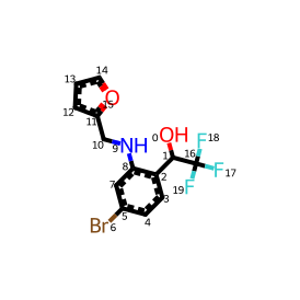 OC(c1ccc(Br)cc1NCc1ccco1)C(F)(F)F